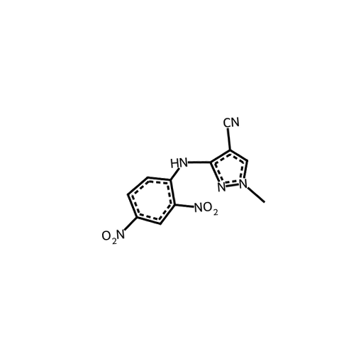 Cn1cc(C#N)c(Nc2ccc([N+](=O)[O-])cc2[N+](=O)[O-])n1